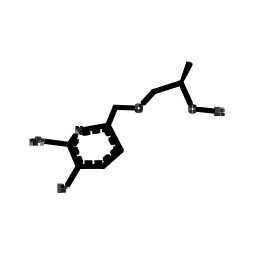 CCCc1nc(COC[C@@H](C)OCC)ccc1Br